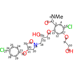 CNC(=O)c1cc(Cl)c(OCCO)cc1OC[C@@H](O)CN1C[C@@H](Oc2ccc(Cl)cc2)CO1